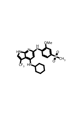 COc1cc(S(C)(=O)=O)ccc1Nc1cc(NC2CCCCC2)c2c(C(F)(F)F)c[nH]c2n1